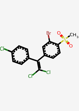 CS(=O)(=O)c1ccc(C(=C(Cl)Cl)c2ccc(Cl)cc2)cc1Br